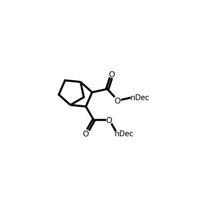 CCCCCCCCCCOC(=O)C1C2CCC(C2)C1C(=O)OCCCCCCCCCC